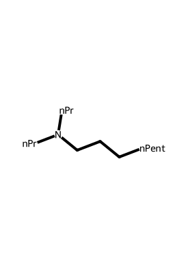 [CH2]CCCCCCCN(CCC)CCC